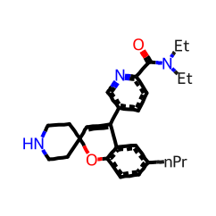 CCCc1ccc2c(c1)C(c1ccc(C(=O)N(CC)CC)nc1)=CC1(CCNCC1)O2